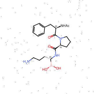 CC(=O)N[C@H](Cc1ccccc1)C(=O)N1CCC[C@H]1C(=O)N[C@@H](CCCN)B(O)O